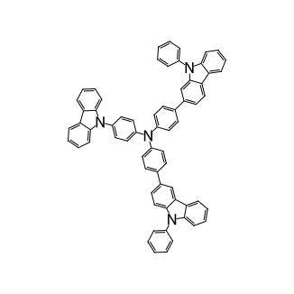 c1ccc(-n2c3ccccc3c3cc(-c4ccc(N(c5ccc(-c6ccc7c8ccccc8n(-c8ccccc8)c7c6)cc5)c5ccc(-n6c7ccccc7c7ccccc76)cc5)cc4)ccc32)cc1